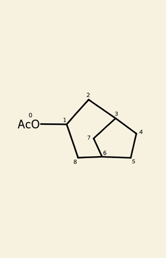 CC(=O)OC1CC2CCC(C2)C1